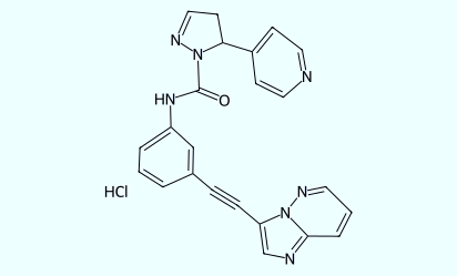 Cl.O=C(Nc1cccc(C#Cc2cnc3cccnn23)c1)N1N=CCC1c1ccncc1